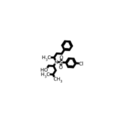 CC(C)CC(CO)N(C(C)CCc1ccccc1)S(=O)(=O)c1ccc(Cl)cc1